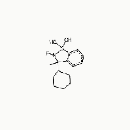 CC1(C2CCCCC2)c2ccccc2S(O)(O)N1F